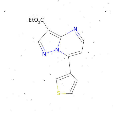 CCOC(=O)c1cnn2c(-c3ccsc3)ccnc12